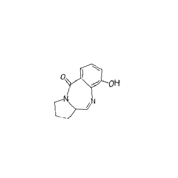 O=C1c2cccc(O)c2N=CC2CCCN12